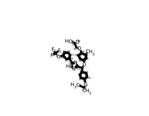 Cc1cc(OC(c2ccc(OC(C)C)cc2)c2n[nH]c(-c3cccc(OC(F)(F)F)c3)n2)ccc1OCC(=O)O